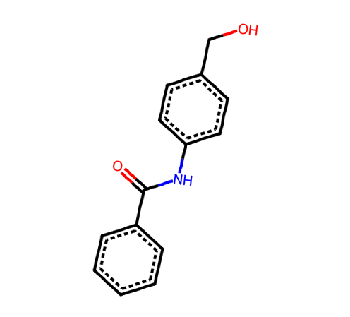 O=C(Nc1ccc(CO)cc1)c1ccccc1